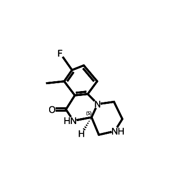 Cc1c(F)ccc2c1C(=O)N[C@@H]1CNCCN21